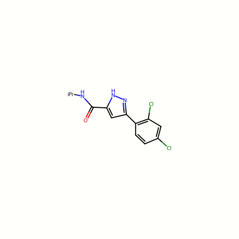 CC(C)NC(=O)c1cc(-c2ccc(Cl)cc2Cl)n[nH]1